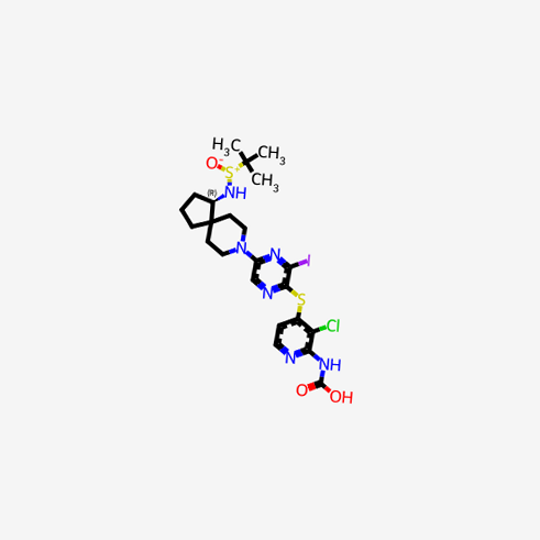 CC(C)(C)[S+]([O-])N[C@@H]1CCCC12CCN(c1cnc(Sc3ccnc(NC(=O)O)c3Cl)c(I)n1)CC2